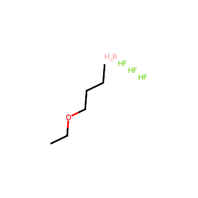 B.CCCCOCC.F.F.F